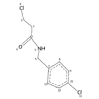 O=C(CCCl)NCc1ccc(Cl)cc1